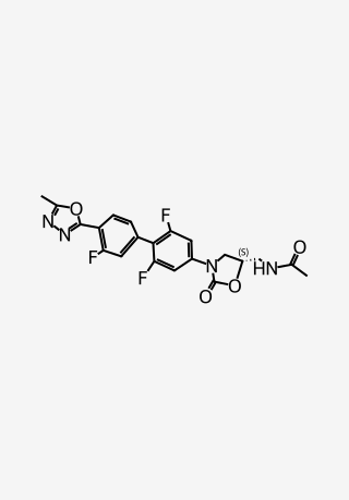 CC(=O)NC[C@H]1CN(c2cc(F)c(-c3ccc(-c4nnc(C)o4)c(F)c3)c(F)c2)C(=O)O1